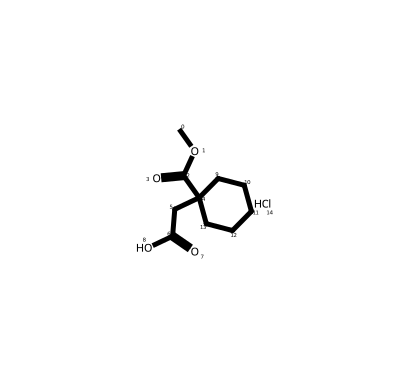 COC(=O)C1(CC(=O)O)CCCCC1.Cl